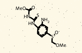 COC[S+]([O-])c1ccc(NC(=S)NC(=O)OC)c(N)c1